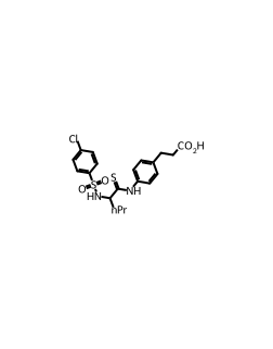 CCCC(NS(=O)(=O)c1ccc(Cl)cc1)C(=S)Nc1ccc(CCC(=O)O)cc1